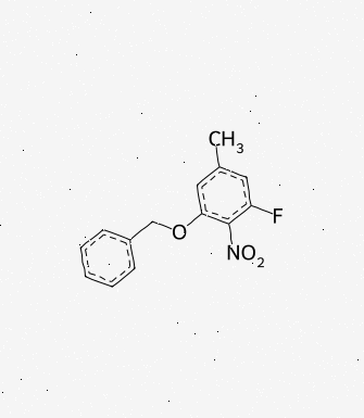 Cc1cc(F)c([N+](=O)[O-])c(OCc2ccccc2)c1